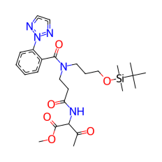 COC(=O)C(NC(=O)CCN(CCCO[Si](C)(C)C(C)(C)C)C(=O)c1ccccc1-n1nccn1)C(C)=O